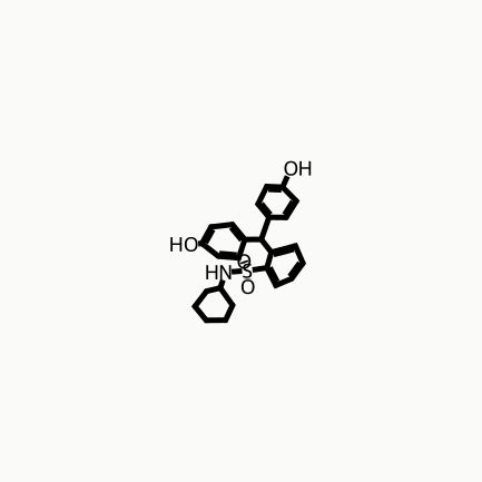 O=S(=O)(NC1CCCCC1)c1ccccc1C(c1ccc(O)cc1)c1ccc(O)cc1